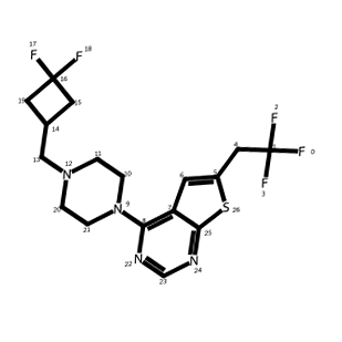 FC(F)(F)Cc1cc2c(N3CCN(CC4CC(F)(F)C4)CC3)ncnc2s1